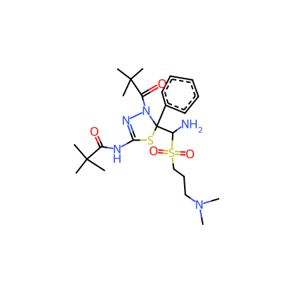 CN(C)CCCS(=O)(=O)C(N)C1(c2ccccc2)SC(NC(=O)C(C)(C)C)=NN1C(=O)C(C)(C)C